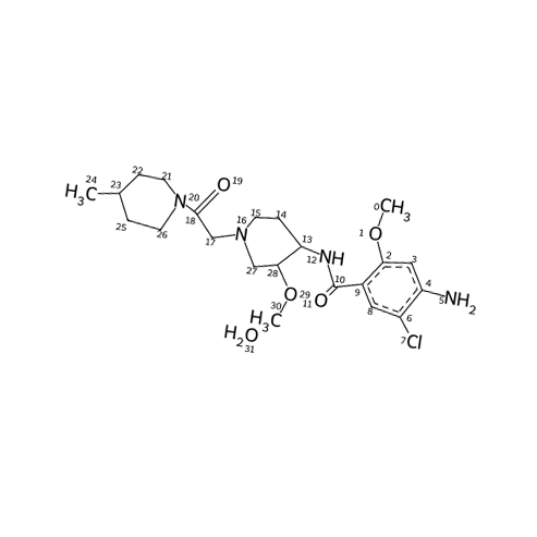 COc1cc(N)c(Cl)cc1C(=O)NC1CCN(CC(=O)N2CCC(C)CC2)CC1OC.O